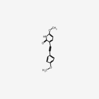 COc1ccc(C#Cc2ccc(OC)[nH]c2=O)cc1